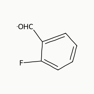 O=[C]c1ccccc1F